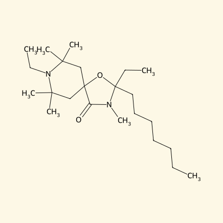 CCCCCCCC1(CC)OC2(CC(C)(C)N(CC)C(C)(C)C2)C(=O)N1C